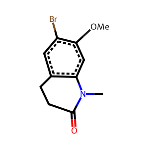 COc1cc2c(cc1Br)CCC(=O)N2C